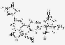 Cn1cc(-c2cc(-c3ccc(N4[C@@H]5CC6[C@H]4C[C@@]6(N)C5)nc3)c3c(C#N)cnn3c2)cn1